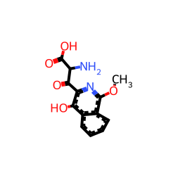 COc1nc(C(=O)C(N)C(=O)O)c(O)c2ccccc12